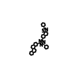 c1ccc(-c2nc(-c3ccc4c(ccc5nc(-c6ccccc6)sc54)c3)nc(-c3ccc4ccc5c6ccccc6ccc5c4c3)n2)cc1